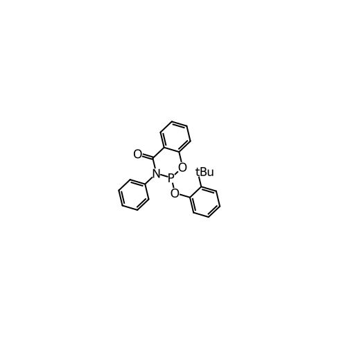 CC(C)(C)c1ccccc1OP1Oc2ccccc2C(=O)N1c1ccccc1